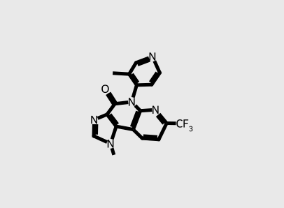 Cc1cnccc1-n1c(=O)c2ncn(C)c2c2ccc(C(F)(F)F)nc21